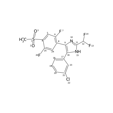 CS(=O)(=O)c1cc(F)c(-c2nc(C(F)F)[nH]c2-c2cccc(Cl)c2)cc1F